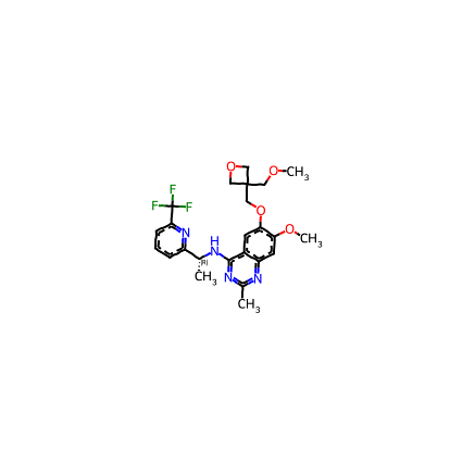 COCC1(COc2cc3c(N[C@H](C)c4cccc(C(F)(F)F)n4)nc(C)nc3cc2OC)COC1